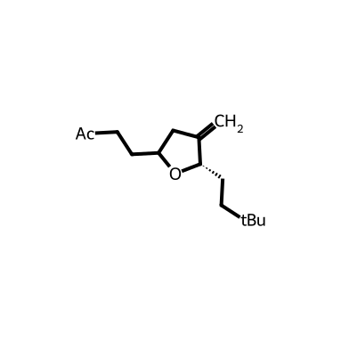 C=C1CC(CCC(C)=O)O[C@H]1CCC(C)(C)C